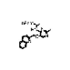 CCCCCC(C)Nc1nc(C)ncc1OCc1ccc2ccccc2n1